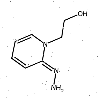 NN=c1ccccn1CCO